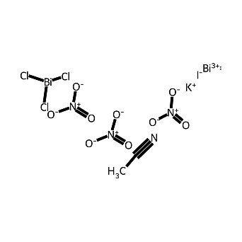 CC#N.O=[N+]([O-])[O-].O=[N+]([O-])[O-].O=[N+]([O-])[O-].[Bi+3].[Cl][Bi]([Cl])[Cl].[I-].[K+]